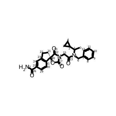 CC(C1CC1)N(Cc1ccccc1)C(=O)CN1C(=O)O[C@]2(CCc3cc(C(N)=O)ccc32)C1=O